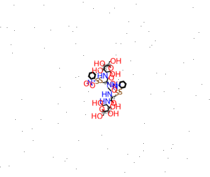 O=C(NC1C(O)O[C@H](CO)[C@@H](O)[C@@H]1O)[C@H](CSSc1ccccc1[N+](=O)[O-])NCCN[C@@H](CSSc1ccccc1[N+](=O)[O-])C(=O)NC1C(O)O[C@H](CO)[C@@H](O)[C@@H]1O